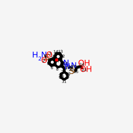 NS(=O)(=O)c1ccc(Cc2c(-c3ccccc3)nn(-c3nc(C(O)O)cs3)c2C2CCCCC2)cc1